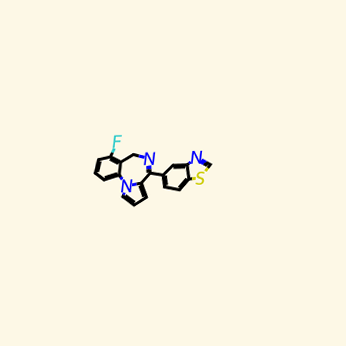 Fc1cccc2c1CN=C(c1ccc3scnc3c1)c1cccn1-2